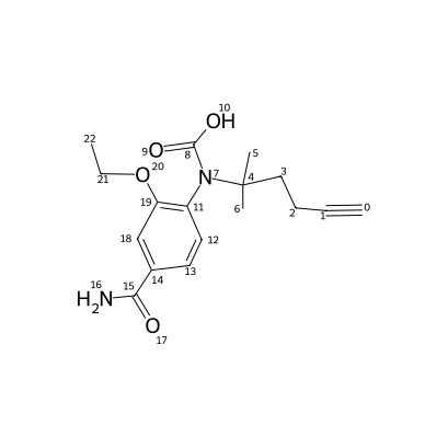 C#CCCC(C)(C)N(C(=O)O)c1ccc(C(N)=O)cc1OCC